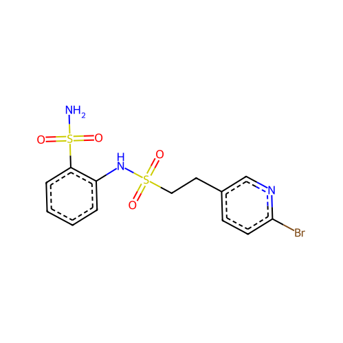 NS(=O)(=O)c1ccccc1NS(=O)(=O)CCc1ccc(Br)nc1